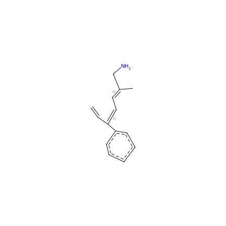 C=C/C(=C\C=C(/C)CN)c1ccccc1